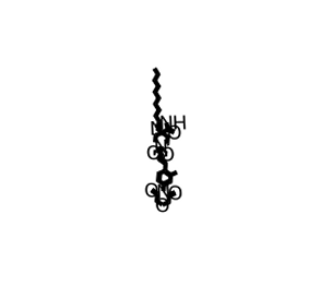 CCCCCCCCCC1=NC2(CCN(S(=O)(=O)/C=C/c3ccc(N4C(=O)COCC4=O)cc3C)CC2)C(=O)N1